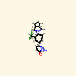 O=c1ccc(-c2ccc(N3CC4CCCC4C3)c(C(F)(F)F)c2)n[nH]1